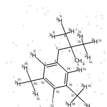 [2H]c1c(CC(C)(C([2H])([2H])[2H])C([2H])([2H])[2H])c([2H])c(C([2H])([2H])[2H])c(I)c1C([2H])([2H])[2H]